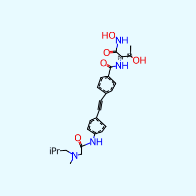 CC(C)CN(C)CC(=O)Nc1ccc(C#Cc2ccc(C(=O)N[C@H](C(=O)NO)[C@@H](C)O)cc2)cc1